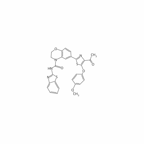 COc1ccc(Oc2sc(-c3ccc4c(c3)N(C(=O)Nc3nc5ccccc5s3)CCO4)nc2C(C)=O)cc1